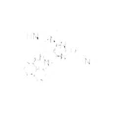 CN1CCCC1COc1nc2c(c(N(C)C3CCNC3)n1)CCN(c1cccc3cccc(Cl)c13)C2